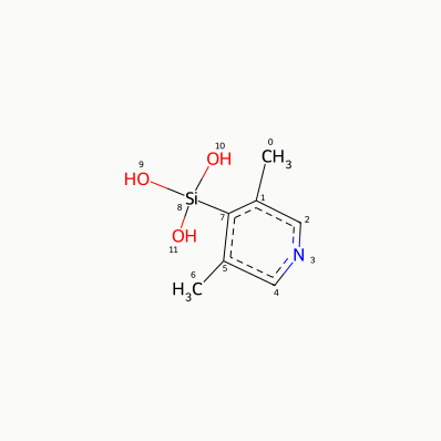 Cc1cncc(C)c1[Si](O)(O)O